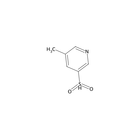 Cc1cncc([SH](=O)=O)c1